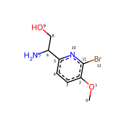 COc1ccc(C(N)CO)nc1Br